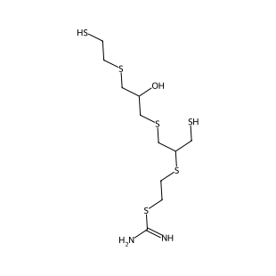 N=C(N)SCCSC(CS)CSCC(O)CSCCS